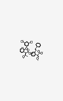 CO/C=C(/C(=O)OC)c1ccccc1/C=C/c1ccccc1.COC(C)=C(C(=O)O)c1cccnc1Oc1cc(Cl)cc(Cl)c1